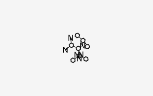 N#Cc1cc(C#N)cc(-c2cc(-c3nc(-c4ccccc4)nc(-c4ccccc4)n3)cc(-n3c4ccccc4c4ccc(-c5ccccc5)cc43)c2)c1